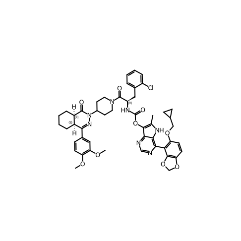 COc1ccc(C2=NN(C3CCN(C(=O)[C@@H](Cc4ccccc4Cl)NC(=O)Oc4c(C)[nH]c5c(-c6c(OCC7CC7)ccc7c6OCO7)ncnc45)CC3)C(=O)[C@@H]3CCCC[C@H]23)cc1OC